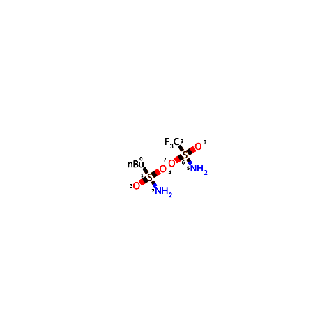 CCCCS(N)(=O)=O.NS(=O)(=O)C(F)(F)F